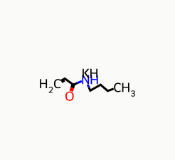 C=CC(=O)NCCCC.[KH]